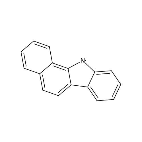 c1ccc2c(c1)[N]c1c-2ccc2ccccc12